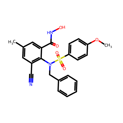 COc1ccc(S(=O)(=O)N(Cc2ccccc2)c2c(C#N)cc(C)cc2C(=O)NO)cc1